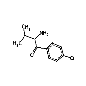 CC(C)C(N)C(=O)c1ccc(Cl)cc1